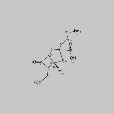 CCC1C(=O)N2CC(CCCN)(C(=O)O)S[C@H]12